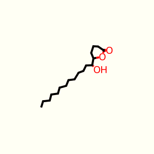 CCCCCCCCCCCCC(O)C1CCCC(=O)O1